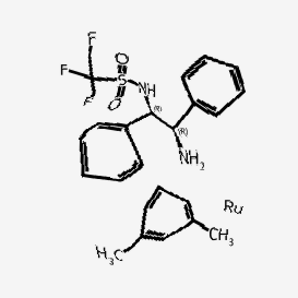 Cc1cccc(C)c1.N[C@H](c1ccccc1)[C@H](NS(=O)(=O)C(F)(F)F)c1ccccc1.[Ru]